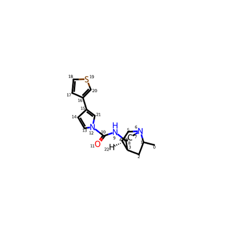 CC1CC2CCN1C[C@@H]2NC(=O)n1ccc(-c2ccsc2)c1